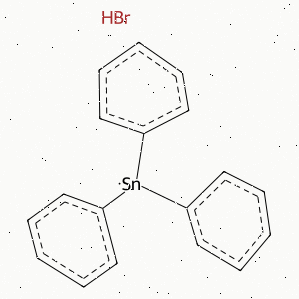 Br.c1cc[c]([Sn]([c]2ccccc2)[c]2ccccc2)cc1